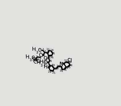 CCC(C(=O)OCC[Si](C)(C)C)c1ccccc1CCC(O)c1cccc(/C=C/c2ccc3ccc(Cl)cc3n2)c1